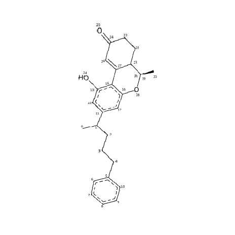 CC(CCCc1ccccc1)c1cc(O)c2c(c1)O[C@H](C)C1CCC(=O)C=C21